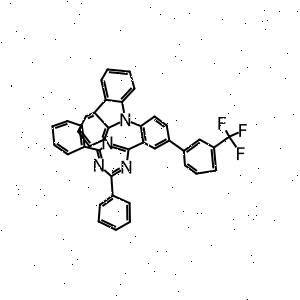 FC(F)(F)c1cccc(-c2ccc(-n3c4ccccc4c4ccccc43)c(-c3nc(-c4ccccc4)nc(-c4ccccc4)n3)c2)c1